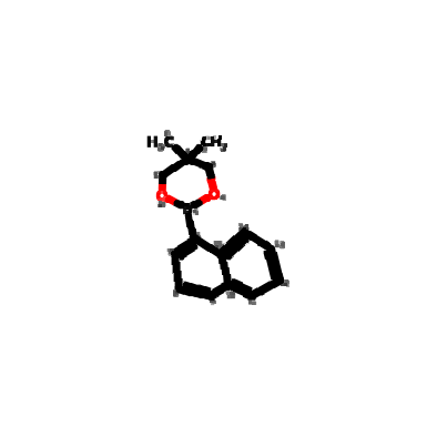 CC1(C)COB(c2cccc3ccccc23)OC1